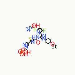 CCOC1CCC(n2cc(NC(=O)c3csc(-c4cnn(C(C)OP(=O)(O)O)c4)n3)c(-c3nc(F)ccc3F)n2)CC1.C[N+](C)(C)CCO